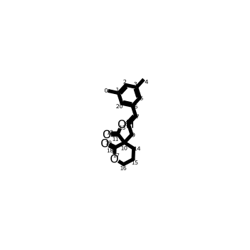 Cc1cc(C)cc(C=CCC2(C(=O)O)CCCOC2=O)c1